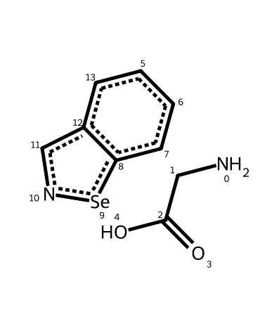 NCC(=O)O.c1ccc2[se]ncc2c1